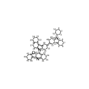 c1ccc(-n2c3ccccc3c3cc(-c4ccc5c(c4)c4c6ccccc6ccc4n5-c4c5ccccc5nc5c4oc4ccccc45)ccc32)cc1